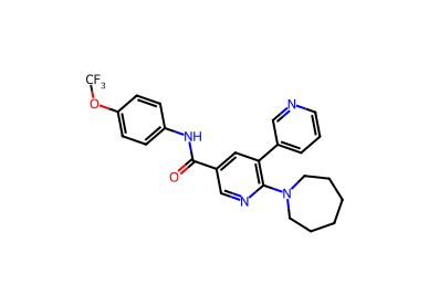 O=C(Nc1ccc(OC(F)(F)F)cc1)c1cnc(N2CCCCCC2)c(-c2cccnc2)c1